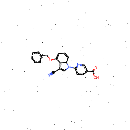 N#CC1=CN(c2ccc(C(=O)O)cn2)C2C=CC=C(OCc3ccccc3)C12